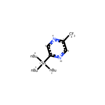 CCC[CH2][Sn]([CH2]CCC)([CH2]CCC)[c]1cnc(C(F)(F)F)cn1